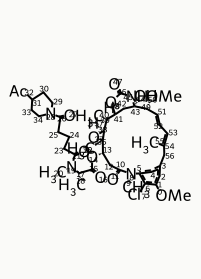 COc1cc2cc(c1Cl)N(C)C(=O)C[C@H](OC(=O)[C@H](C)N(C)C(=O)CCCC(=O)N1CCC(C(C)=O)CC1)[C@]1(C)O[C@H]1[C@H](C)[C@@H]1C[C@@](O)(NC(=O)O1)[C@H](OC)/C=C/C=C(\C)C2